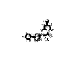 CC[C@H](Nc1nnc(-c2ccccc2)o1)C(=O)N1CCC2(CC1)CC2